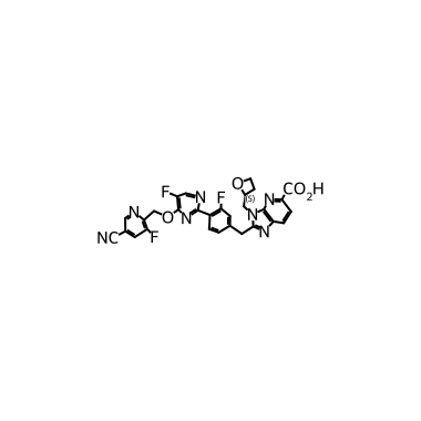 N#Cc1cnc(COc2nc(-c3ccc(Cc4nc5ccc(C(=O)O)nc5n4C[C@@H]4CCO4)cc3F)ncc2F)c(F)c1